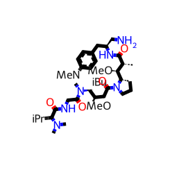 CC[C@H](C)[C@@H]([C@@H](CC(=O)N1CCC[C@H]1[C@H](OC)[C@@H](C)C(=O)N[C@H](CN)Cc1ccc(NC)cc1)OC)N(C)C(=O)CNC(=O)C(C(C)C)N(C)C